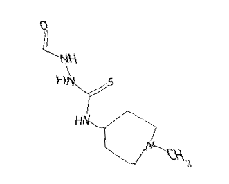 CN1CCC(NC(=S)NNC=O)CC1